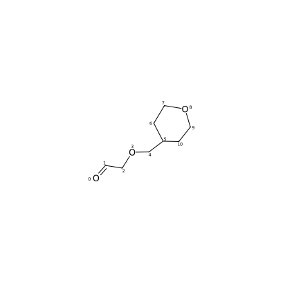 O=CCOCC1CCOCC1